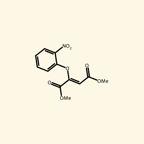 COC(=O)/C=C(\Oc1ccccc1[N+](=O)[O-])C(=O)OC